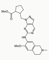 COC(=O)C1CCCC1Cn1ncc2cnc(Nc3cc4c(cc3OC)CCN(C)C4)nc21